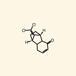 O=C1C=CCC2C1[C@H]1CC[C@@H]2C1=C(Cl)Cl